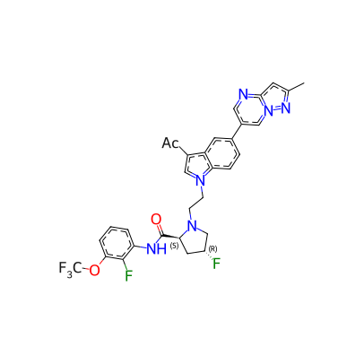 CC(=O)c1cn(CCN2C[C@H](F)C[C@H]2C(=O)Nc2cccc(OC(F)(F)F)c2F)c2ccc(-c3cnc4cc(C)nn4c3)cc12